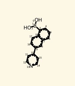 OB(O)c1cccc2cc(-c3ccncc3)ccc12